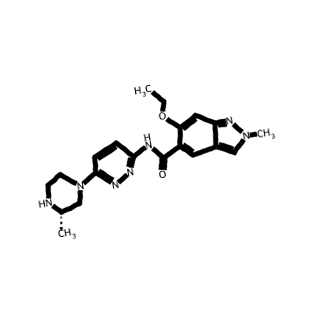 CCOc1cc2nn(C)cc2cc1C(=O)Nc1ccc(N2CCN[C@@H](C)C2)nn1